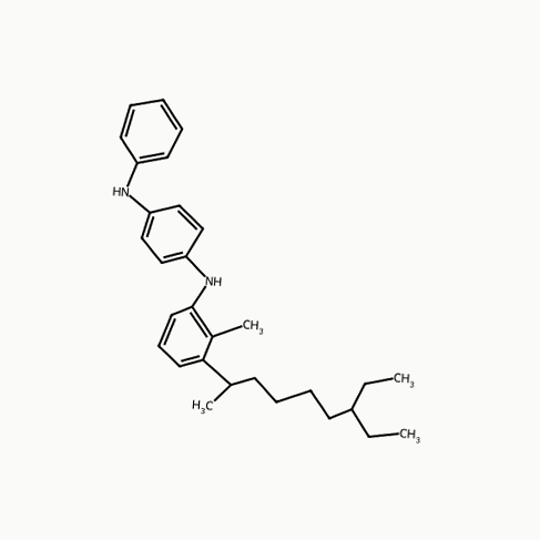 CCC(CC)CCCCC(C)c1cccc(Nc2ccc(Nc3ccccc3)cc2)c1C